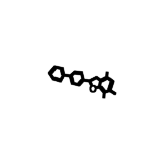 Cc1cc(C)c2c(c1C)OC(c1ccc(-c3ccccc3)cc1)C2